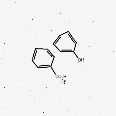 O=C(O)c1ccccc1.Oc1ccccc1.[Hf]